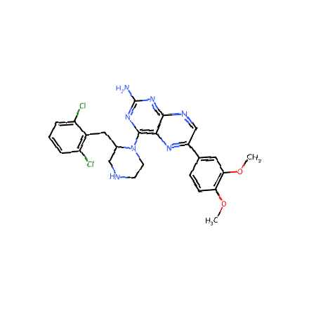 COc1ccc(-c2cnc3nc(N)nc(N4CCNCC4Cc4c(Cl)cccc4Cl)c3n2)cc1OC